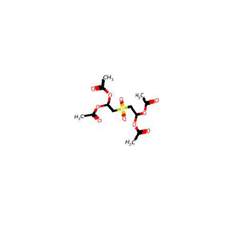 CC(=O)OC(CS(=O)(=O)CC(OC(C)=O)OC(C)=O)OC(C)=O